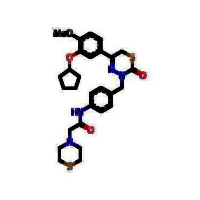 COc1ccc(C2=NN(Cc3ccc(NC(=O)CN4CCSCC4)cc3)C(=O)SC2)cc1OC1CCCC1